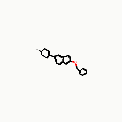 CCCC1CC=C(c2ccc3cc(OCc4ccccc4)ccc3c2)CC1